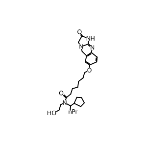 CCCC(C1CCCC1)N(CCO)C(=O)CCCCCCOc1ccc2c(c1)CN1CC(=O)NC1=N2